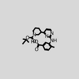 Cc1ccc(C(=O)O)cc1Nc1nccc(C2CCCN(C(=O)OC(C)(C)C)C2)n1